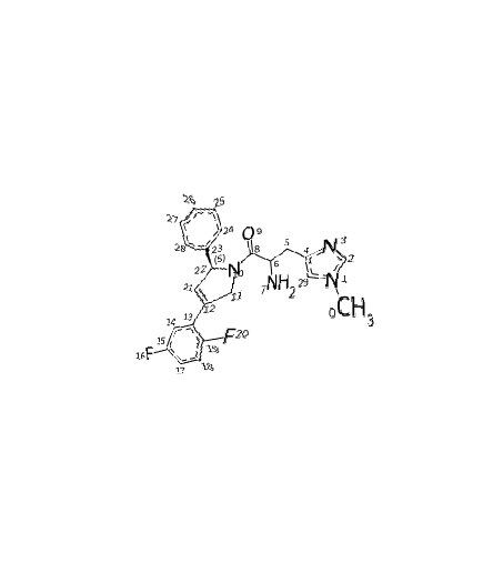 Cn1cnc(CC(N)C(=O)N2CC(c3cc(F)ccc3F)=C[C@H]2c2ccccc2)c1